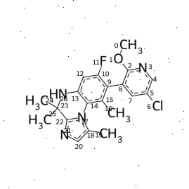 COc1ncc(Cl)cc1-c1c(F)cc2c(c1C)-n1c(C)cnc1C(C)(C)N2